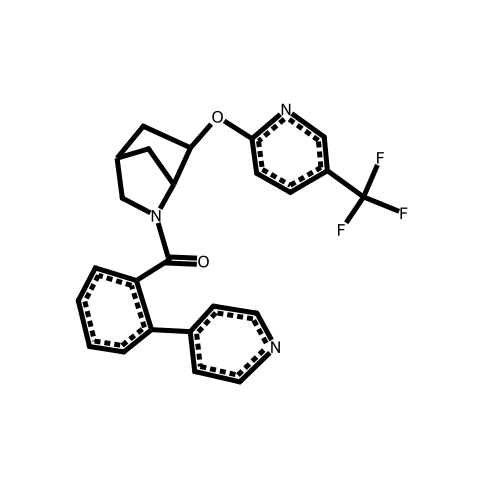 O=C(c1ccccc1-c1ccncc1)N1CC2CC(Oc3ccc(C(F)(F)F)cn3)C1C2